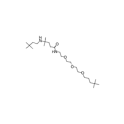 CC(C)(C)CCCOCCOCCOCCNC(=O)CCC(C)(C)NCCC(C)(C)C